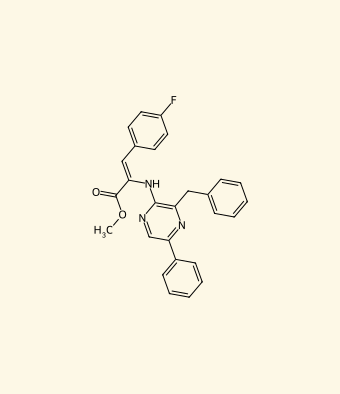 COC(=O)/C(=C/c1ccc(F)cc1)Nc1ncc(-c2ccccc2)nc1Cc1ccccc1